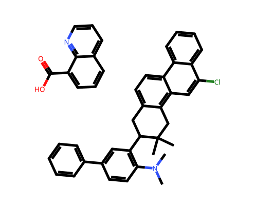 CN(C)c1ccc(-c2ccccc2)cc1C1Cc2ccc3c(cc(Cl)c4ccccc43)c2CC1(C)C.O=C(O)c1cccc2cccnc12